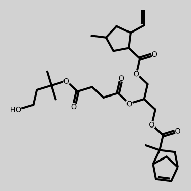 C=CC1CC(C)CC1C(=O)OCC(COC(=O)C1(C)CC2C=CC1C2)OC(=O)CCC(=O)OC(C)(C)CCO